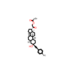 CCCC(=O)OCC(=O)[C@H]1CC[C@H]2[C@@H]3CC[C@@H]4C[C@@](O)(C#Cc5ccc(C(C)=O)cc5)CC[C@@H]4[C@H]3CC[C@]12C